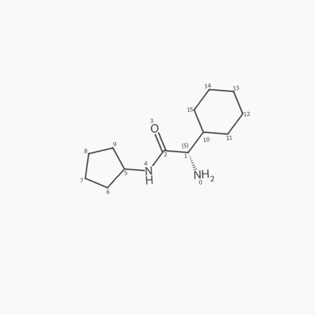 N[C@H](C(=O)NC1CCCC1)C1CCCCC1